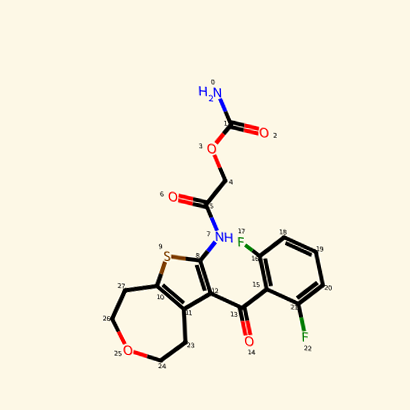 NC(=O)OCC(=O)Nc1sc2c(c1C(=O)c1c(F)cccc1F)CCOCC2